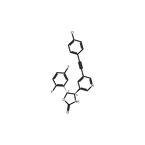 O=C1N[C@H](c2cncc(C#Cc3ccc(Cl)cc3)c2)[C@@H](c2cc(F)ccc2F)O1